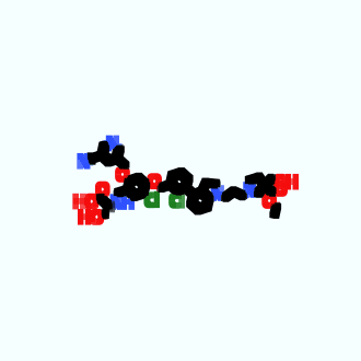 CCOC(=O)C1(CO)CCN(CCCN2CCc3c(-c4cccc(COc5cc(OCc6cncc(C#N)c6)c(CN[C@@H](CO)C(=O)O)cc5Cl)c4Cl)cccc32)C1